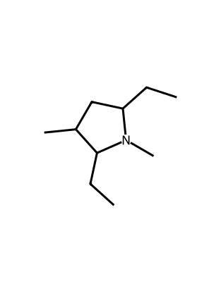 CCC1CC(C)C(CC)N1C